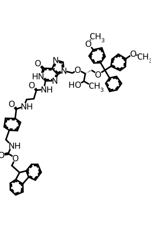 COc1ccc(C(OC[C@@H](OCn2cnc3c(=O)[nH]c(NC(=O)CCNC(=O)c4ccc(CNC(=O)OCC5c6ccccc6-c6ccccc65)cc4)nc32)C(C)O)(c2ccccc2)c2ccc(OC)cc2)cc1